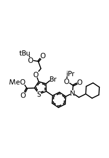 COC(=O)c1sc(-c2cccc(N(CC3CCCCC3)C(=O)OC(C)C)c2)c(Br)c1OCC(=O)OC(C)(C)C